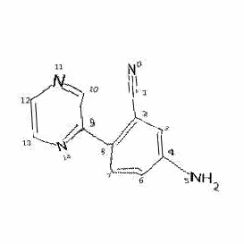 N#Cc1cc(N)ccc1-c1cnccn1